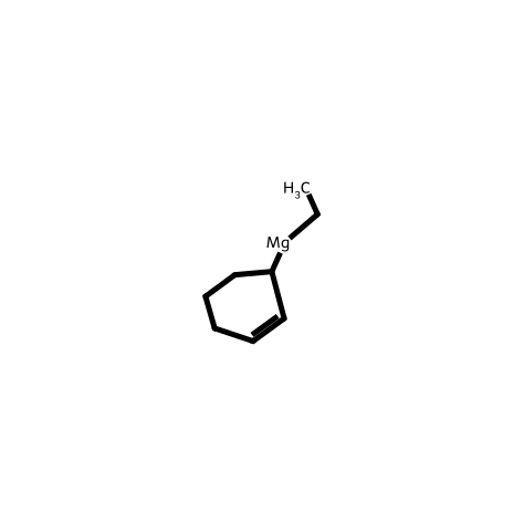 C[CH2][Mg][CH]1C=CCCC1